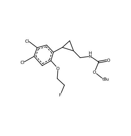 CC(C)(C)OC(=O)NCC1CC1c1cc(Cl)c(Cl)cc1OCCF